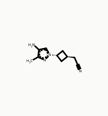 Cc1nn([C@H]2C[C@H](CC#N)C2)cc1N